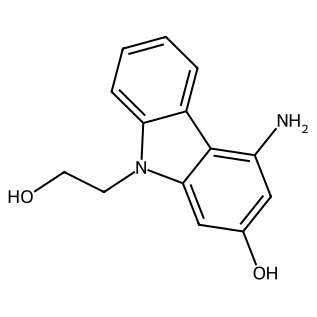 Nc1cc(O)cc2c1c1ccccc1n2CCO